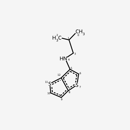 CC(C)CNc1csc2ccsc12